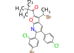 CC(Br)c1c(C(=O)C(C)(C)C)oc2nc(-c3ccc(Br)cc3Cl)c(-c3ccc(Cl)cc3)cc12